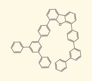 c1ccc(-c2cccc(-c3ccc(-c4cccc5c4oc4c(-c6ccc(-c7cc(-c8ccccc8)cc(-c8ccccc8)c7)cc6)cccc45)cc3)c2)cc1